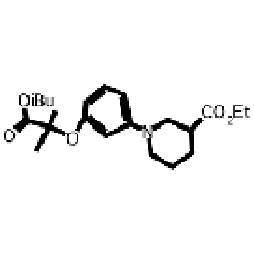 CCOC(=O)C1CCCN(c2cccc(OC(C)(C)C(=O)OCC(C)C)c2)C1